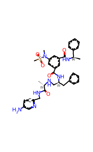 C[C@H](NC[C@H](Cc1ccccc1)NC(=O)c1cc(C(=O)N[C@H](C)c2ccccc2)cc(N(C)S(C)(=O)=O)c1)C(=O)NCc1ccc(N)cn1